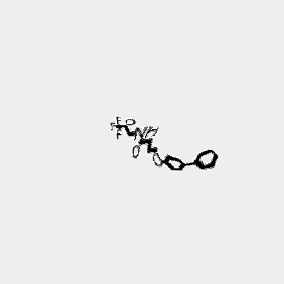 O=C(CCCOc1ccc(-c2ccccc2)cc1)NCC(=O)C(F)(F)F